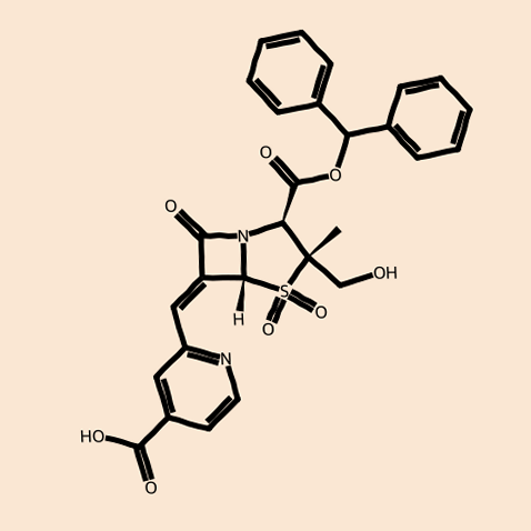 C[C@]1(CO)[C@H](C(=O)OC(c2ccccc2)c2ccccc2)N2C(=O)/C(=C/c3cc(C(=O)O)ccn3)[C@H]2S1(=O)=O